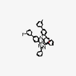 Cc1cccc(-c2ccc3c4ccccc4n(-c4cc(-c5cccc(F)c5)ccc4-c4nc(-c5ccccc5)nc(-c5ccccc5)n4)c3c2)c1